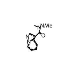 CNN(C)C(=O)c1cnn2ccccc12